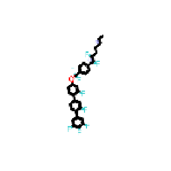 C/C=C/CC/C(F)=C(\F)c1ccc(C(F)(F)Oc2ccc(-c3ccc(-c4cc(F)c(F)c(F)c4)c(F)c3)c(F)c2)cc1